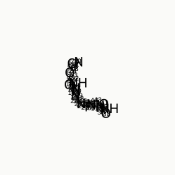 N#Cc1ccc(O[C@H]2CC[C@H](NC(=O)c3ccc(N4CCC(CN5CCC(F)(Cn6ccc7c(N8CCC(=O)NC8=O)cccc76)CC5)CC4)nn3)CC2)cc1Cl